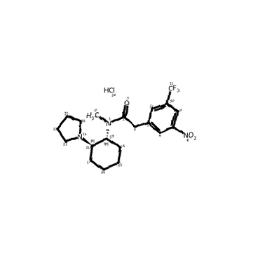 CN(C(=O)Cc1cc([N+](=O)[O-])cc(C(F)(F)F)c1)[C@@H]1CCCC[C@H]1N1CCCC1.Cl